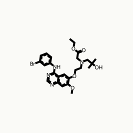 CCOC(=O)CN(CCOc1cc2c(Nc3cccc(Br)c3)ncnc2cc1OC)CC(C)(C)O